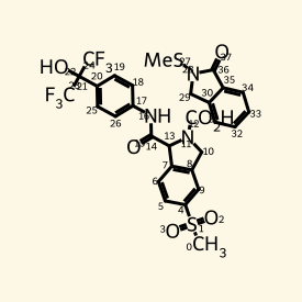 CS(=O)(=O)c1ccc2c(c1)CN(C(=O)O)C2C(=O)Nc1ccc(C(O)(C(F)(F)F)C(F)(F)F)cc1.CSN1Cc2ccccc2C1=O